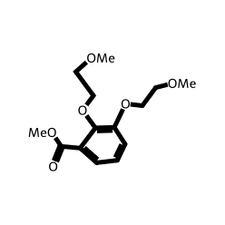 COCCOc1cccc(C(=O)OC)c1OCCOC